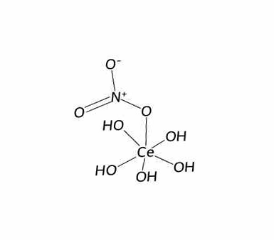 O=[N+]([O-])[O][Ce]([OH])([OH])([OH])([OH])[OH]